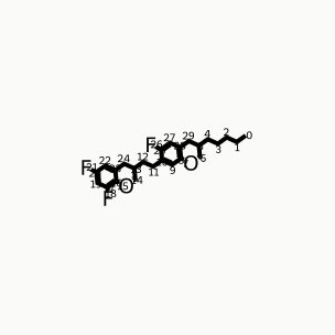 CCCCCC1COc2cc(CCC3COc4c(F)cc(F)cc4C3)c(F)cc2C1